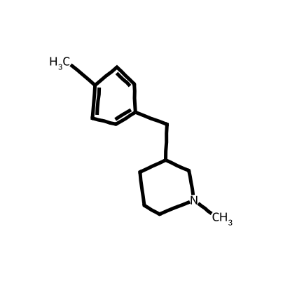 Cc1ccc(CC2CCCN(C)C2)cc1